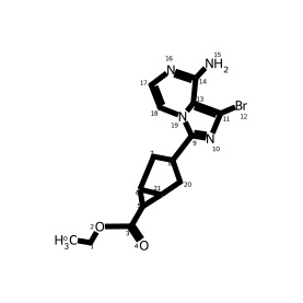 CCOC(=O)C1C2CC(c3nc(Br)c4c(N)nccn34)CC21